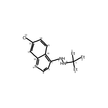 CCC(CC)(CC)NNc1ccnc2cc(Cl)ccc12